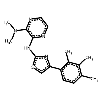 Cc1ccc(-c2csc(Nc3nccnc3N(C)C)n2)c(C)c1C